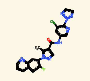 O=C(Nc1cnc(-n2nccn2)c(Cl)c1)c1cnn(-c2cc3ncccc3cc2F)c1C(F)(F)F